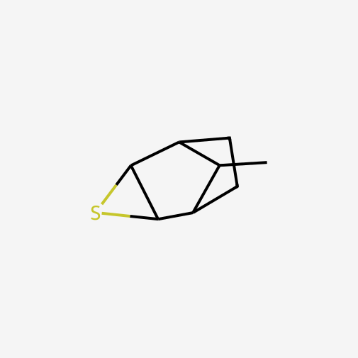 CC1C2CCC1C1SC21